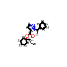 C=C=CC1(OC(=O)c2ccnn2[C@H](C)c2ccccc2)CCCCC1